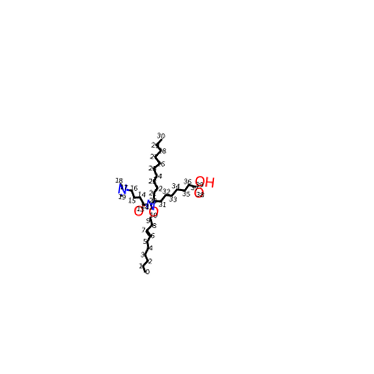 CCCCCCC=CCCON(C(=O)CCCN(C)C)C(CCCCCCCCCC)CCCCCCC(=O)O